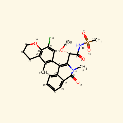 Cc1c(-c2c([C@H](OC(C)(C)C)C(=O)NS(C)(=O)=O)n(C)c(=O)c3ccccc23)cc(F)c2c1CCCO2